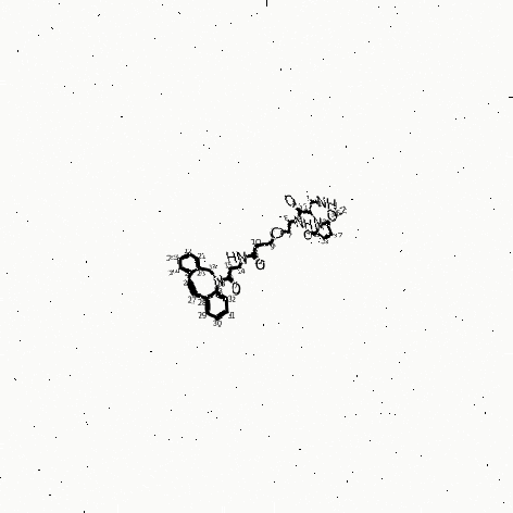 NC[C@H](C(=O)NCCOCCC(=O)NCCC(=O)N1Cc2ccccc2C#Cc2ccccc21)N1C(=O)C=CC1=O